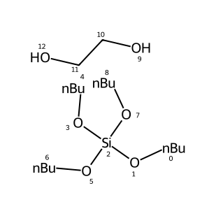 CCCCO[Si](OCCCC)(OCCCC)OCCCC.OCCO